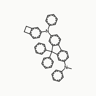 CN(c1ccccc1)c1ccc2c(c1)C(c1ccccc1)(c1ccccc1)c1cc(N(c3ccccc3)c3ccc4c(c3)CC4)ccc1-2